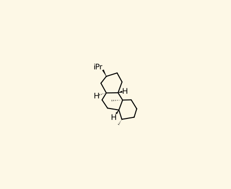 CC(C)[C@H]1CC[C@H]2[C@@H](CC[C@H]3[C@@H](C)CCC[C@]23C)C1